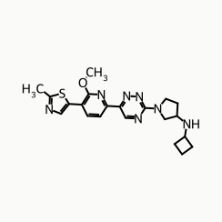 COc1nc(-c2cnc(N3CCC(NC4CCC4)C3)nn2)ccc1-c1cnc(C)s1